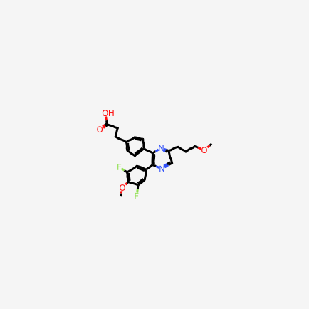 COCCCc1cnc(-c2cc(F)c(OC)c(F)c2)c(-c2ccc(CCC(=O)O)cc2)n1